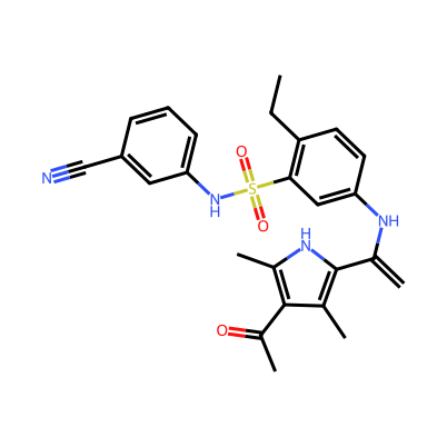 C=C(Nc1ccc(CC)c(S(=O)(=O)Nc2cccc(C#N)c2)c1)c1[nH]c(C)c(C(C)=O)c1C